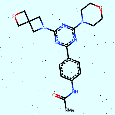 CNC(=O)Nc1ccc(-c2nc(N3CCOCC3)nc(N3CC4(COC4)C3)n2)cc1